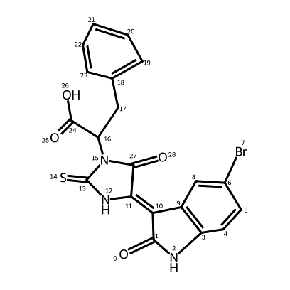 O=C1Nc2ccc(Br)cc2/C1=C1/NC(=S)N(C(Cc2ccccc2)C(=O)O)C1=O